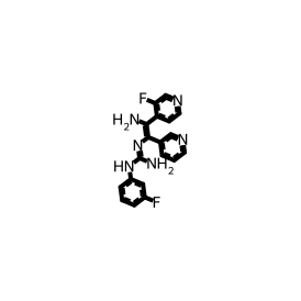 N/C(=C(\N=C(/N)Nc1cccc(F)c1)c1cccnc1)c1ccncc1F